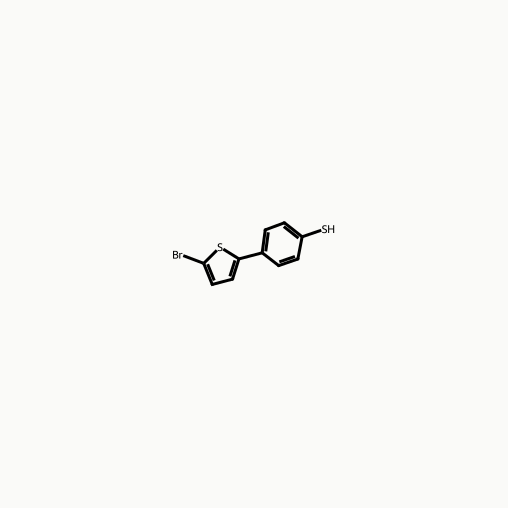 Sc1ccc(-c2ccc(Br)s2)cc1